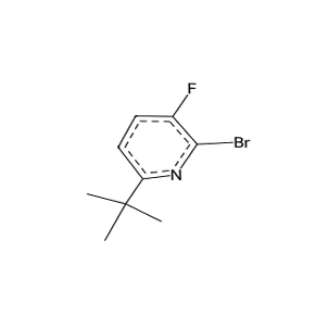 CC(C)(C)c1ccc(F)c(Br)n1